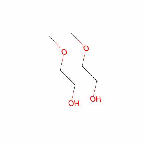 COCCO.COCCO